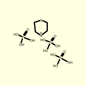 C1CSCCN1.O=P(O)(O)O.O=P(O)(O)O.O=P(O)(O)O